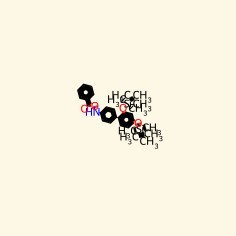 CC(C)(C)[Si](C)(C)Oc1ccc([C@H]2CC[C@@H](NOC(=O)c3ccccc3)CC2)c(O[Si](C)(C)C(C)(C)C)c1